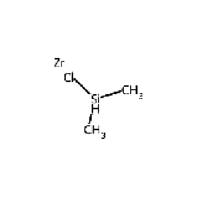 C[SiH](C)Cl.[Zr]